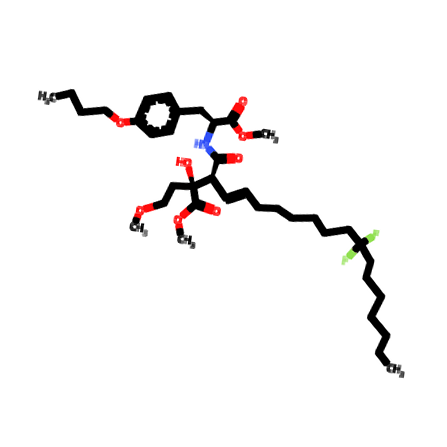 CCCCCCCC(F)(F)CCCCCC/C=C/[C@H](C(=O)N[C@@H](Cc1ccc(OCCCC)cc1)C(=O)OC)[C@@](O)(CCOC)C(=O)OC